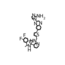 CC(NC(=O)c1cccnc1NCc1ccc(-c2ccc3ncc(-n4ccnc4N)nc3c2)s1)c1ccc(F)c(F)c1